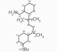 CN(CCC(C)(C)C1CCCCC1CN)C1CCCC(C(C)(C)C)C1